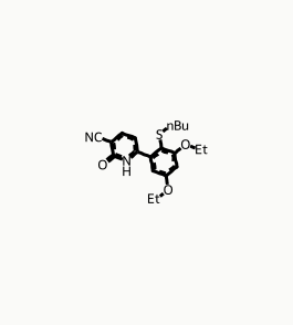 CCCCSc1c(OCC)cc(OCC)cc1-c1ccc(C#N)c(=O)[nH]1